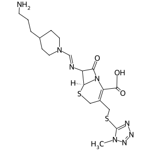 Cn1nnnc1SCC1=C(C(=O)O)N2C(=O)C(N=CN3CCC(CCCN)CC3)[C@@H]2SC1